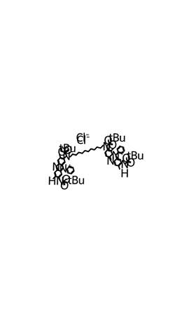 Cc1cc2nc3cc(C)c(N(CCCCCCCCCCCCN(C(=O)OC(C)(C)C)c4ccc5nc6cc(C)c(NC(=O)OC(C)(C)C)cc6[n+](-c6ccccc6)c5c4C)C(=O)OC(C)(C)C)cc3[n+](-c3ccccc3)c2cc1NC(=O)OC(C)(C)C.[Cl-].[Cl-]